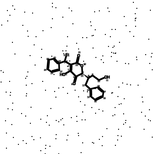 CCC(C1=C(O)C(=O)[C@@H](C(CCO)Cc2ccccc2)OC1=O)c1ccccc1